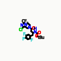 CC(C)(C)OC(=O)NC(CC(=O)N1CCn2c(C(F)(F)F)nc(Cl)c2C1)Cc1cc(F)c(F)cc1F